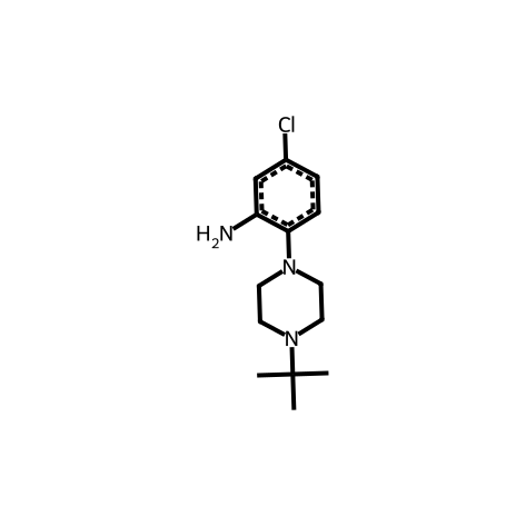 CC(C)(C)N1CCN(c2ccc(Cl)cc2N)CC1